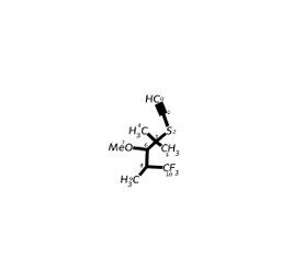 C#CSC(C)(C)C(OC)C(C)C(F)(F)F